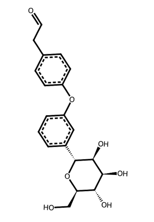 O=CCc1ccc(Oc2cccc([C@H]3O[C@H](CO)[C@@H](O)[C@H](O)[C@@H]3O)c2)cc1